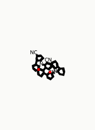 N#CC1=CC=C(C#N)C(n2c3ccccc3c3cc(C#N)ccc32)C1c1ccccc1-c1cccc(-n2c3c(c4ccccc42)C=CCC3)c1